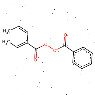 C/C=C\C(=C/C)C(=O)OOC(=O)c1ccccc1